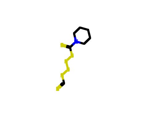 S=CSSSSC(=S)N1CCCCC1